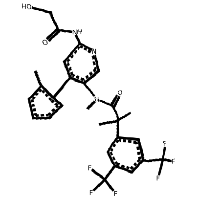 Cc1ccccc1-c1cc(NC(=O)CO)ncc1N(C)C(=O)C(C)(C)c1cc(C(F)(F)F)cc(C(F)(F)F)c1